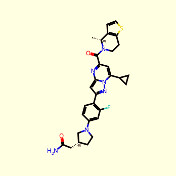 C[C@@H]1c2ccsc2CCN1C(=O)c1cc(C2CC2)n2nc(-c3ccc(N4CC[C@H](CC(N)=O)C4)cc3F)cc2n1